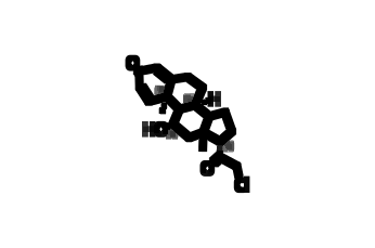 CC12C[C@H](O)C3[C@@H](CCC4=CC(=O)C=C[C@@]43C)C1CC[C@@H]2C(=O)CCl